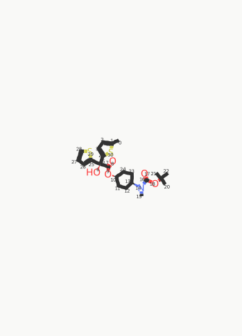 Cc1ccc([C@@](O)(C(=O)O[C@H]2CC[C@H](N(C)C(=O)OC(C)(C)C)CC2)c2cccs2)s1